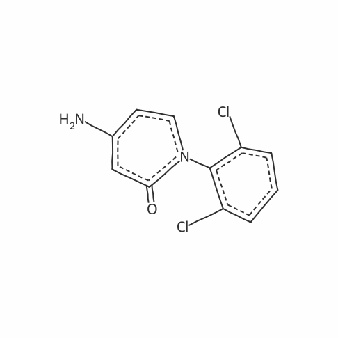 Nc1ccn(-c2c(Cl)cccc2Cl)c(=O)c1